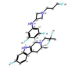 C[C@H]1Cc2c([nH]c3cc(F)ccc23)[C@H](c2c(F)cc(NC3CN(CCCF)C3)cc2F)N1CC(C)(F)F